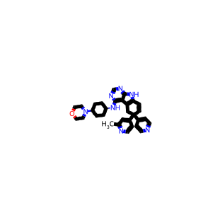 Cc1cc(C2(c3ccncc3)C=Cc3[nH]c4ncnc(N[C@H]5CC[C@H](N6CCOCC6)CC5)c4c3C2)ccn1